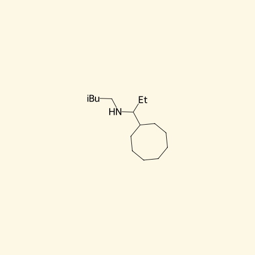 CCC(C)CNC(CC)C1CCCCCCC1